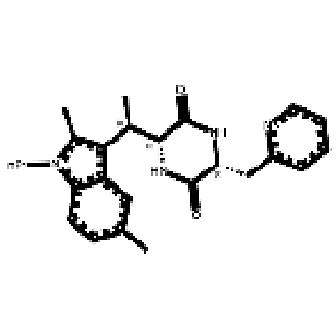 CCCn1c(C)c([C@@H](C)[C@H]2NC(=O)[C@@H](Cc3ccccn3)NC2=O)c2cc(C)ccc21